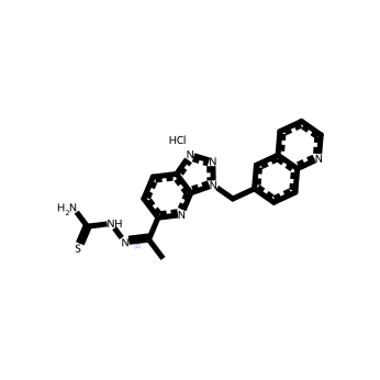 C/C(=N/NC(N)=S)c1ccc2nnn(Cc3ccc4ncccc4c3)c2n1.Cl